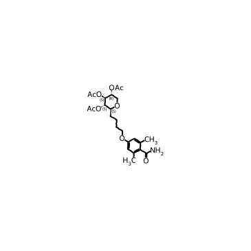 CC(=O)O[C@@H]1[C@@H](OC(C)=O)[C@H](OC(C)=O)CO[C@H]1CCCCOc1cc(C)c(C(N)=O)c(C)c1